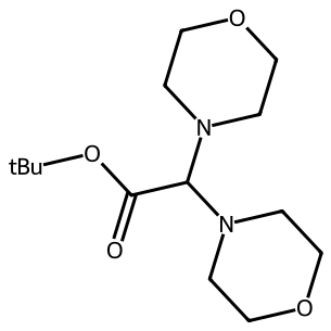 CC(C)(C)OC(=O)C(N1CCOCC1)N1CCOCC1